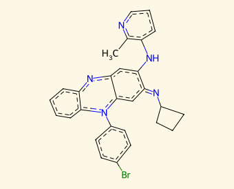 Cc1ncccc1Nc1cc2nc3ccccc3n(-c3ccc(Br)cc3)c-2c/c1=N\C1CCC1